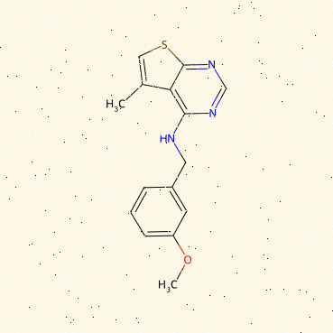 COc1cccc(CNc2ncnc3scc(C)c23)c1